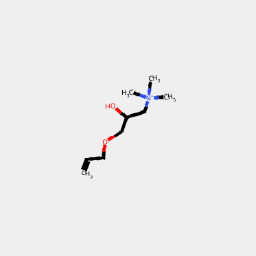 C=CCOCC(O)C[N+](C)(C)C